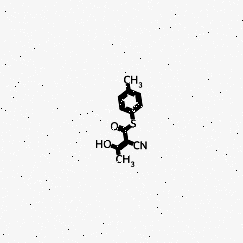 C/C(O)=C(\C#N)C(=O)Sc1ccc(C)cc1